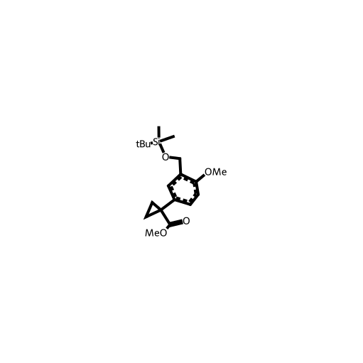 COC(=O)C1(c2ccc(OC)c(CO[Si](C)(C)C(C)(C)C)c2)CC1